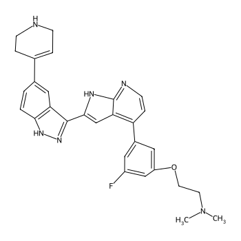 CN(C)CCOc1cc(F)cc(-c2ccnc3[nH]c(-c4n[nH]c5ccc(C6=CCNCC6)cc45)cc23)c1